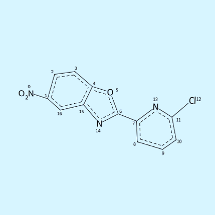 O=[N+]([O-])c1ccc2oc(-c3cccc(Cl)n3)nc2c1